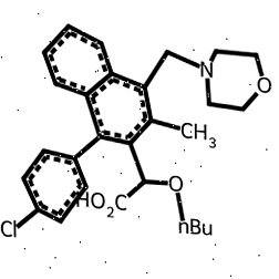 CCCCOC(C(=O)O)c1c(C)c(CN2CCOCC2)c2ccccc2c1-c1ccc(Cl)cc1